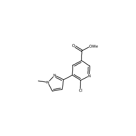 COC(=O)c1cnc(Cl)c(-c2ccn(C)n2)c1